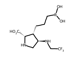 O=C(O)[C@H]1NC[C@H](NCC(F)(F)F)[C@H]1CCCB(O)O